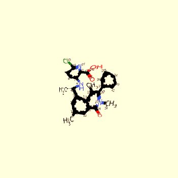 Cc1cc([C@H](C)Nc2ccc(Cl)nc2C(=O)O)c2c(C)c(-c3ccccc3)n(C)c(=O)c2c1